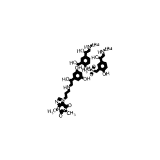 CC(C)(C)NCC(O)c1ccc(O)c(CO)c1.CC(C)(C)NCC(O)c1ccc(O)c(CS(C)(=O)=O)c1.Cn1c(=O)c2c(ncn2CCCNCC(O)c2cc(O)cc(O)c2)n(C)c1=O